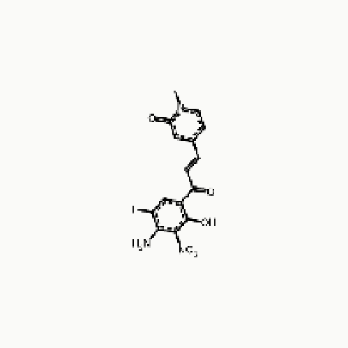 Cn1ccc(C=CC(=O)c2cc(F)c(N)c([N+](=O)[O-])c2O)cc1=O